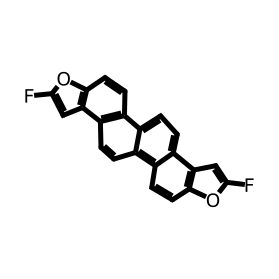 Fc1cc2c(ccc3c2ccc2c4ccc5oc(F)cc5c4ccc32)o1